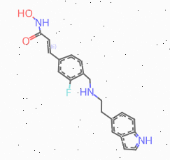 O=C(/C=C/c1ccc(CNCCc2ccc3[nH]ccc3c2)c(F)c1)NO